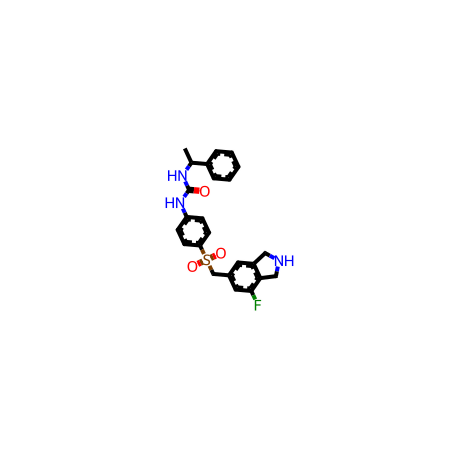 CC(NC(=O)Nc1ccc(S(=O)(=O)Cc2cc(F)c3c(c2)CNC3)cc1)c1ccccc1